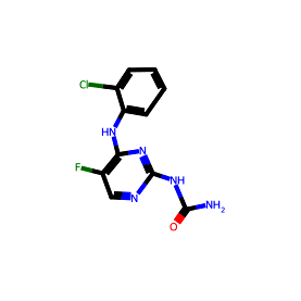 NC(=O)Nc1ncc(F)c(Nc2ccccc2Cl)n1